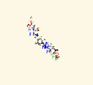 CCOC(=O)CNC(=S)N/N=C/c1ccc(C(=N)/N=C\Nc2ccc(OC(F)(F)F)cc2)cc1